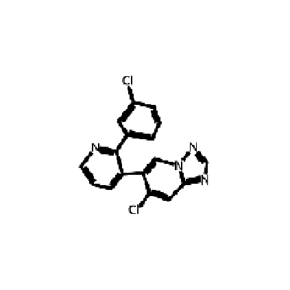 Clc1cccc(-c2ncccc2-c2cn3ncnc3cc2Cl)c1